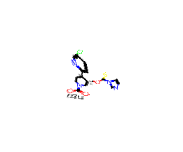 CC(C)(C)OC(=O)N1CC[C@@H](c2ccc(Cl)cn2)[C@H](COC(=S)n2ccnc2)C1